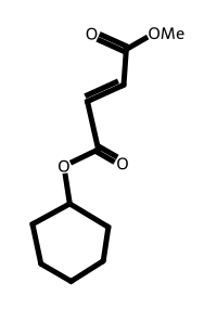 COC(=O)C=CC(=O)OC1CCCCC1